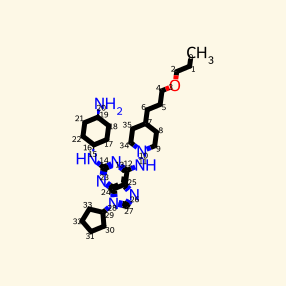 CCCOCCCC1CCN(Nc2nc(N[C@H]3CC[C@H](N)CC3)nc3c2ncn3C2CCCC2)CC1